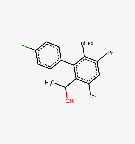 CCCCCCc1c(C(C)C)cc(C(C)C)c(C(C)O)c1-c1ccc(F)cc1